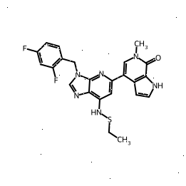 CCSNc1cc(-c2cn(C)c(=O)c3[nH]ccc23)nc2c1ncn2Cc1ccc(F)cc1F